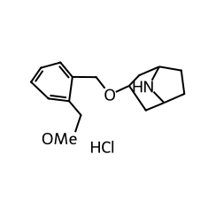 COCc1ccccc1COC1CC2CCC(C1)N2.Cl